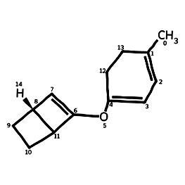 CC1=CC=C(OC2=C[C@H]3CCC23)CC1